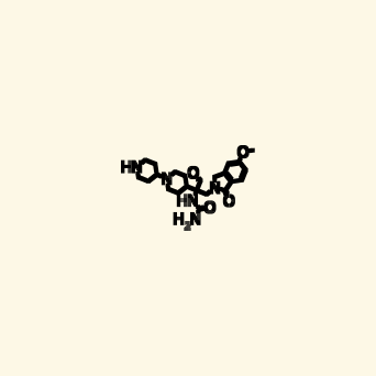 COc1ccc2c(c1)CN(CC(C=O)(NC(N)=O)C1CCN(C3CCNCC3)CC1)C2=O